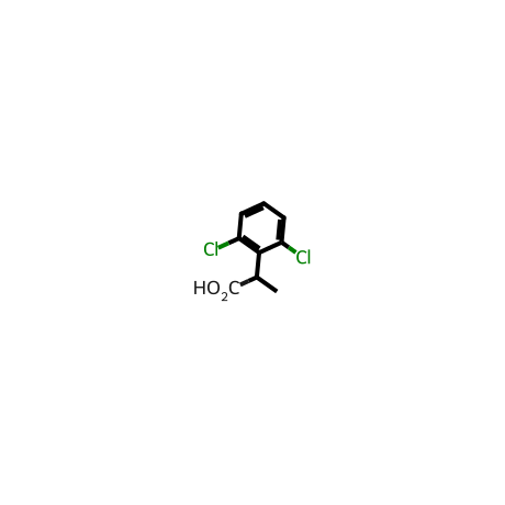 CC(C(=O)O)c1c(Cl)cccc1Cl